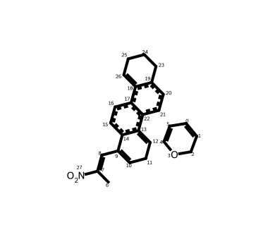 C1=CCOC=C1.CC(=CC1=CCC=c2c1ccc1c3c(ccc21)CCCC=3)[N+](=O)[O-]